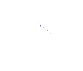 C/C=c1/c(-c2ccsc2C#N)c(-c2cccc(C3CC3C(=O)O)c2)n(Sc2ccc(C)cc2)/c1=C/C